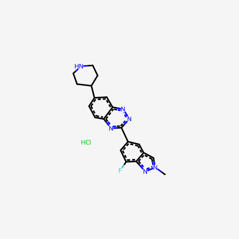 Cl.Cn1cc2cc(-c3nnc4cc(C5CCNCC5)ccc4n3)cc(F)c2n1